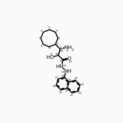 N[C@H](C1CCCCCCC1)C(O)C(=O)NNc1cccc2ccccc12